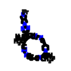 CC(C)N1CC2CN(c3ncc(C(C)(C)C4(C)c5cnc(nc5)N5CC6(CCN(CC6)C(C)C(C)(C)N6CC7(CCN(CC7)c7ncc(cn7)C4(C)C)C6)C5)cn3)CC2C1